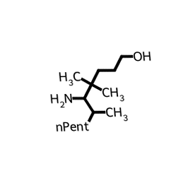 CCCCCC(C)C(N)C(C)(C)CCCO